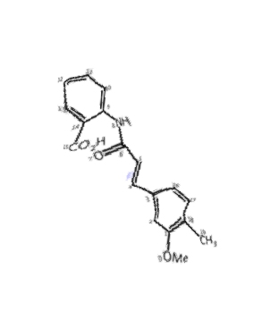 COc1cc(/C=C/C(=O)Nc2ccccc2C(=O)O)ccc1C